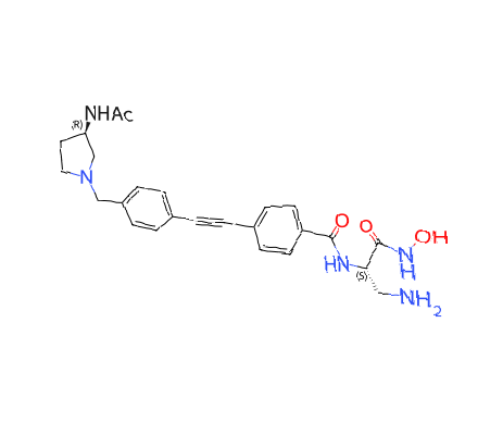 CC(=O)N[C@@H]1CCN(Cc2ccc(C#Cc3ccc(C(=O)N[C@@H](CN)C(=O)NO)cc3)cc2)C1